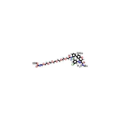 COc1cc2c(cc1-c1cccc(NC(=O)CCOCCOCCOCCOCCOCCOCCNC(=O)OC(C)(C)C)c1)-c1c(c(C(=O)N(C)C(C)(C)C)nn1-c1cc(Cl)cc(Cl)c1)CO2